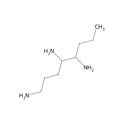 CCCC(N)C(N)CCCN